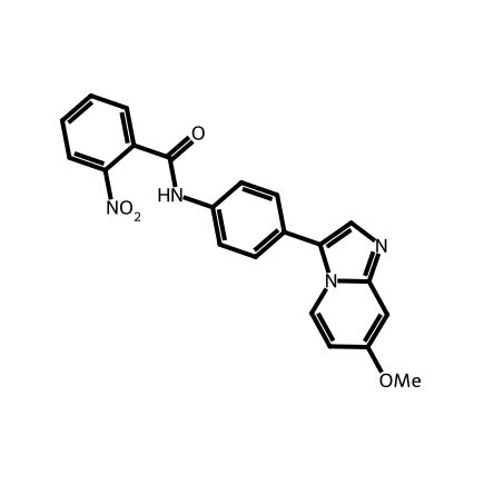 COc1ccn2c(-c3ccc(NC(=O)c4ccccc4[N+](=O)[O-])cc3)cnc2c1